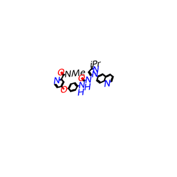 CNC(=O)c1cc(Oc2ccc(NC(=O)Nc3cc(C(C)C)nn3-c3ccc4ncccc4c3)cc2)ccn1